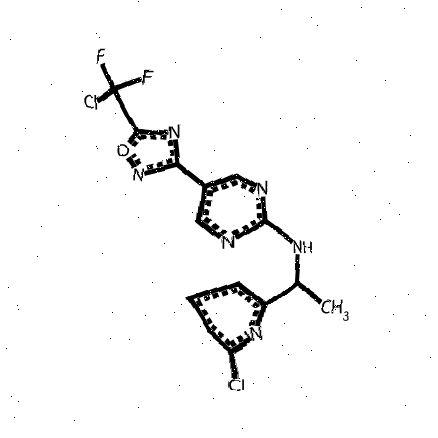 CC(Nc1ncc(-c2noc(C(F)(F)Cl)n2)cn1)c1cccc(Cl)n1